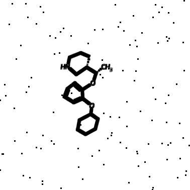 C[C@H](Oc1ccccc1OC1CCCCC1)[C@H]1CCCNC1